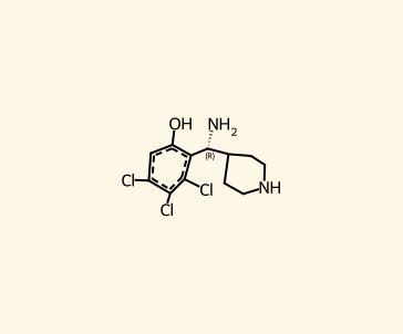 N[C@@H](c1c(O)cc(Cl)c(Cl)c1Cl)C1CCNCC1